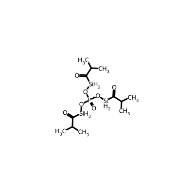 CC(C)C(=O)[SiH2]OP(=O)(O[SiH2]C(=O)C(C)C)O[SiH2]C(=O)C(C)C